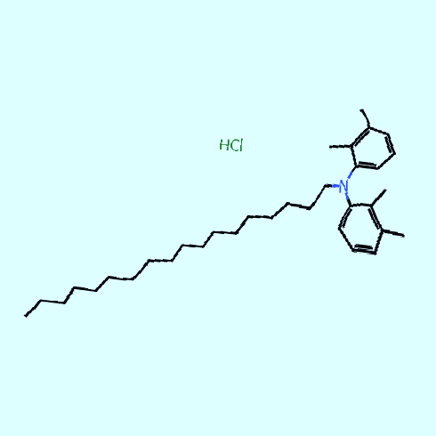 CCCCCCCCCCCCCCCCCCN(c1cccc(C)c1C)c1cccc(C)c1C.Cl